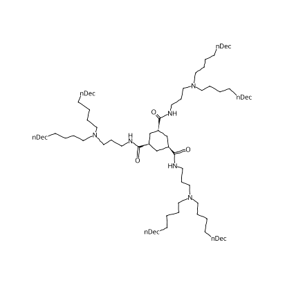 CCCCCCCCCCCCCCN(CCCCCCCCCCCCCC)CCCNC(=O)[C@H]1C[C@@H](C(=O)NCCCN(CCCCCCCCCCCCCC)CCCCCCCCCCCCCC)C[C@@H](C(=O)NCCCN(CCCCCCCCCCCCCC)CCCCCCCCCCCCCC)C1